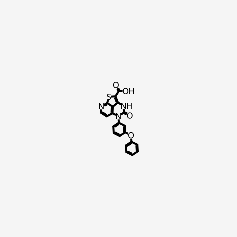 O=C(O)c1sc2nccc3c2c1NC(=O)N3c1cccc(Oc2ccccc2)c1